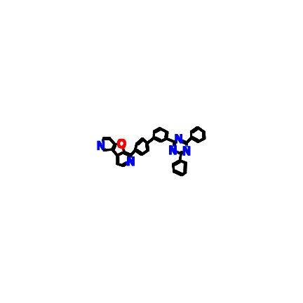 c1ccc(-c2nc(-c3ccccc3)nc(-c3cccc(-c4ccc(-c5nccc6c5oc5ccncc56)cc4)c3)n2)cc1